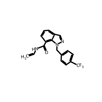 C=CNC(=O)c1cccc2cnn(Cc3ccc(C(F)(F)F)cc3)c12